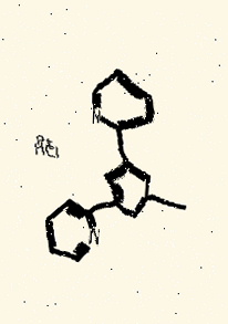 Cc1cc(-c2ccccn2)cc(-c2ccccn2)c1.Cl.[Pt]